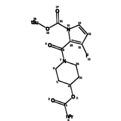 CCCC(=O)OC1CCN(C(=O)c2c(F)ccn2C(=O)OC(C)(C)C)CC1